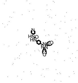 O=C(Nc1ccncc1)Nc1ccc(-c2nc(N3C4CCC3COC4)nc(N3C4CCC3COC4)n2)cc1